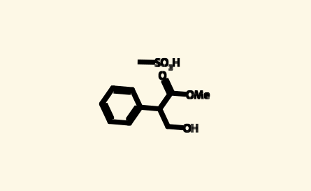 COC(=O)C(CO)c1ccccc1.CS(=O)(=O)O